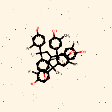 Cc1cc(C(C)(c2ccc(O)c(C)c2)C(CC(C)(c2ccc(O)c(C(C)C)c2)c2ccc(O)c(C(C)C)c2)CC(C)(c2ccc(O)cc2C(C)C)c2ccc(O)cc2C(C)C)ccc1O